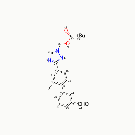 Cc1cc(-c2ncn(COC(=O)C(C)(C)C)n2)ccc1-c1cccc(C=O)c1